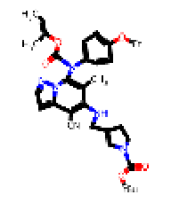 C/C=C(\C)OC(=O)N(c1ccc(OCC)cc1)c1c(C)c(NCC2CCN(C(=O)OC(C)(C)C)C2)c(C#N)c2ccnn12